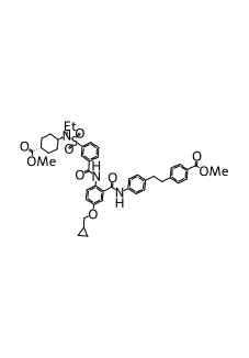 CCN([C@H]1CC[C@H](C(=O)OC)CC1)S(=O)(=O)c1cccc(C(=O)Nc2ccc(OCC3CC3)cc2C(=O)Nc2ccc(CCc3ccc(C(=O)OC)cc3)cc2)c1